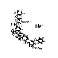 COc1nc(Nc2ccc(/C=C/c3ccc(Nc4nc(OC)nc(Oc5ccccc5)n4)cc3S(=O)(=O)[O-])c(S(=O)(=O)[O-])c2)nc(Oc2ccccc2)n1.[Na+].[Na+]